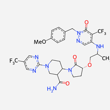 COc1ccc(Cn2ncc(NC(C)CO[C@@H]3CCN(C4CCN(c5ncc(C(F)(F)F)cn5)CC4C(N)=O)C3=O)c(C(F)(F)F)c2=O)cc1